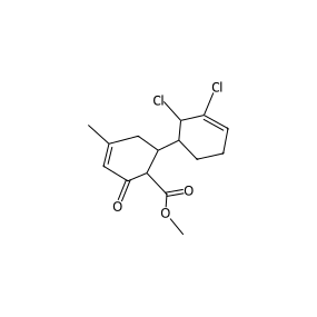 COC(=O)C1C(=O)C=C(C)CC1C1CCC=C(Cl)C1Cl